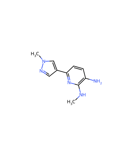 CNc1nc(-c2cnn(C)c2)ccc1N